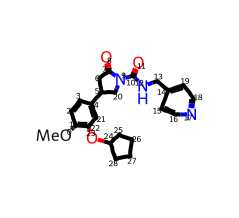 COc1ccc(C2CC(=O)N(C(=O)NCc3ccncc3)C2)cc1OC1CCCC1